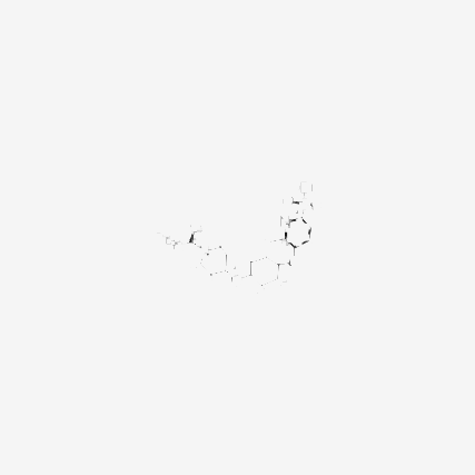 CCS(=O)(=O)c1ccc(OC2CCC(OC3CCN(C(=O)OC(C)C)CC3)CC2)c(C)n1